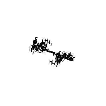 CC[C@H](NC)C(=O)N[C@@H](Cc1c(Cl)cc(OCC#CC#CCOc2cc(Cl)c(C[C@H](NC(=O)[C@H](CC)NC)C(=O)N3CC(C)(C)c4[nH]c(=O)c(Cc5ccc(F)cc5)cc43)c(Cl)c2)cc1Cl)C(=O)N1CC(C)(C)c2[nH]c(=O)c(Cc3ccc(F)cc3)cc21